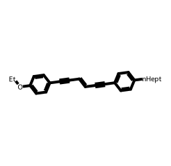 CCCCCCCc1ccc(C#C/C=C/C#Cc2ccc(OCC)cc2)cc1